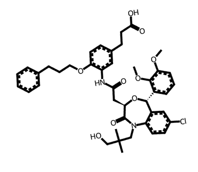 COc1cccc([C@H]2O[C@H](CC(=O)Nc3cc(CCC(=O)O)ccc3OCCCc3ccccc3)C(=O)N(CC(C)(C)CO)c3ccc(Cl)cc32)c1OC